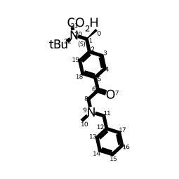 C[C@@H](c1ccc(C(=O)CN(C)Cc2ccccc2)cc1)N(C(=O)O)C(C)(C)C